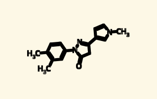 Cc1ccc(N2N=C(c3ccn(C)c3)CC2=O)cc1C